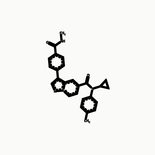 CNC(=O)c1ccc(-c2cnn3ccc(C(=O)N(c4ccc(C)cc4)C4CC4)cc23)cc1